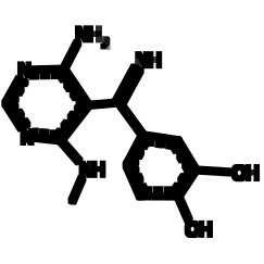 CNc1ncnc(N)c1C(=N)c1ccc(O)c(O)c1